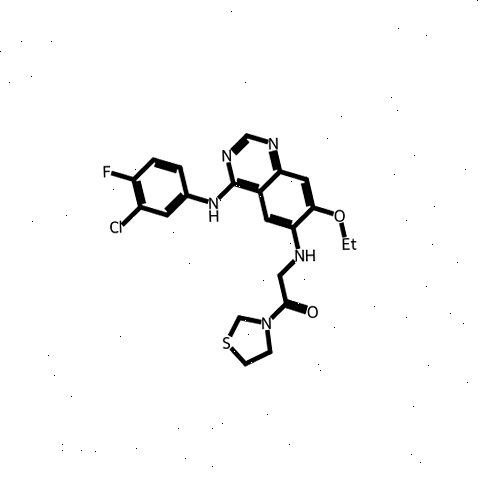 CCOc1cc2ncnc(Nc3ccc(F)c(Cl)c3)c2cc1NCC(=O)N1CCSC1